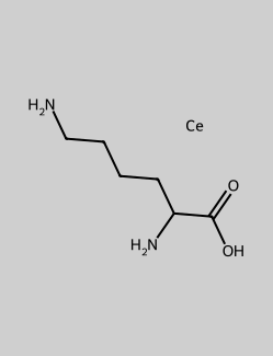 NCCCCC(N)C(=O)O.[Ce]